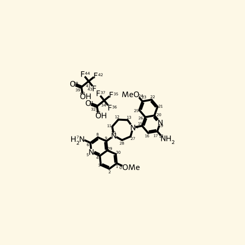 COc1ccc2nc(N)cc(N3CCCN(c4cc(N)nc5ccc(OC)cc45)CC3)c2c1.O=C(O)C(F)(F)F.O=C(O)C(F)(F)F